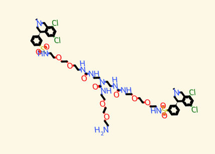 CN1Cc2c(Cl)cc(Cl)cc2[C@H](c2cccc(S(=O)(=O)NCCOCCOCCNC(=O)NCCN(CCNC(=O)NCCOCCOCCNS(=O)(=O)c3cccc([C@@H]4CN(C)Cc5c(Cl)cc(Cl)cc54)c3)C(=O)NCCOCCOCCN)c2)C1